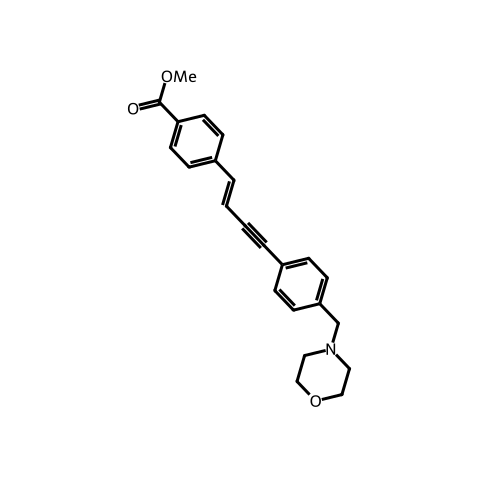 COC(=O)c1ccc(C=CC#Cc2ccc(CN3CCOCC3)cc2)cc1